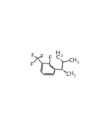 CC(C)[C@@H](C)c1cccc(C(F)(F)F)c1F